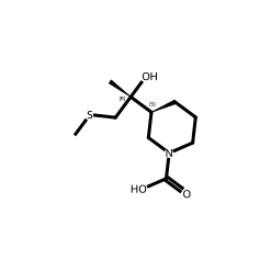 CSC[C@](C)(O)[C@H]1CCCN(C(=O)O)C1